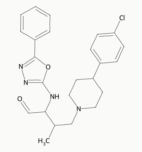 CC(CN1CCC(c2ccc(Cl)cc2)CC1)C(C=O)Nc1nnc(-c2ccccc2)o1